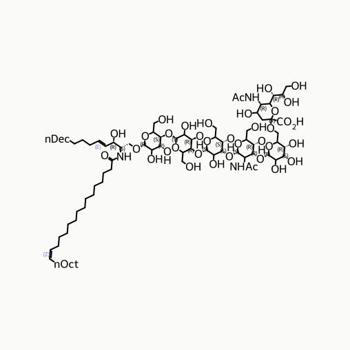 CCCCCCCC/C=C\CCCCCCCCCCCCCC(=O)N[C@@H](CO[C@@H]1OC(CO)[C@@H](O[C@@H]2OC(CO)[C@H](O[C@@H]3OC(CO)[C@H](O)[C@H](O[C@@H]4OC(CO)[C@H](O)[C@H](O[C@@H]5OC(CO[C@]6(C(=O)O)CC(O)[C@@H](NC(C)=O)C([C@H](O)[C@H](O)CO)O6)[C@H](O)[C@H](O)C5O)C4NC(C)=O)C3O)[C@H](O)C2O)[C@H](O)C1O)[C@H](O)/C=C/CCCCCCCCCCCCC